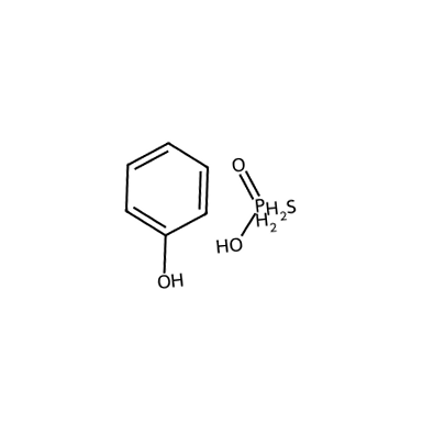 O=[PH2]O.Oc1ccccc1.S